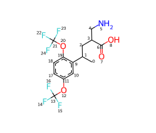 CC(CC(CN)C(=O)O)c1cc(OC(F)(F)F)ccc1OC(F)(F)F